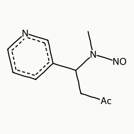 CC(=O)CC(c1cccnc1)N(C)N=O